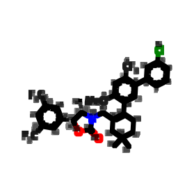 COc1cc(C(F)(F)F)c(-c2cccc(Cl)c2)cc1C1=C(CN2C(=O)O[C@H](c3cc(C(F)(F)F)cc(C(F)(F)F)c3)[C@@H]2C)CC(C)(C)CC1